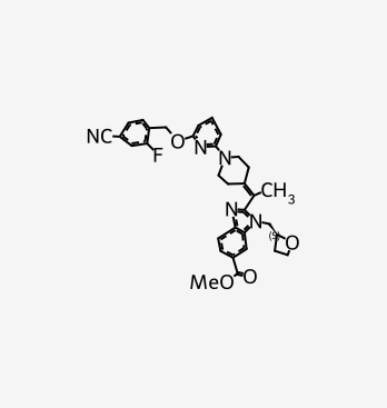 COC(=O)c1ccc2nc(C(C)=C3CCN(c4cccc(OCc5ccc(C#N)cc5F)n4)CC3)n(C[C@@H]3CCO3)c2c1